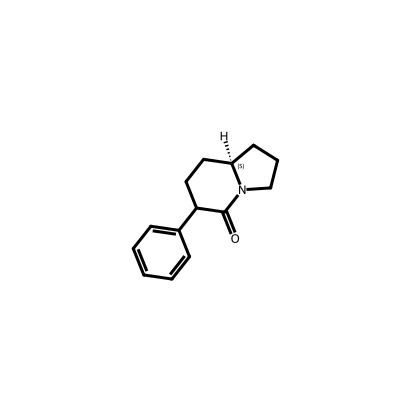 O=C1C(c2ccccc2)CC[C@H]2CCCN12